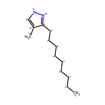 CCCCCCCCCC1=N[N]C=C1C